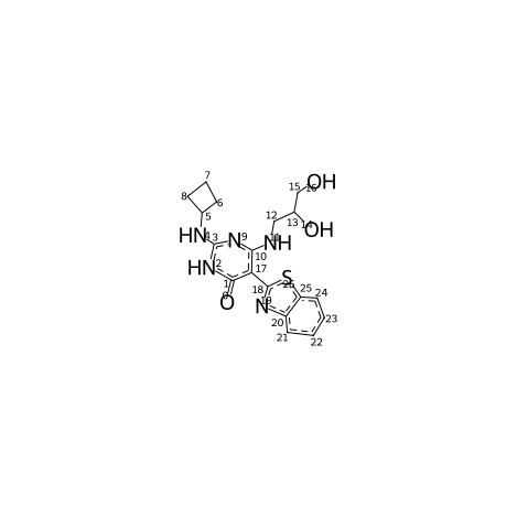 O=c1[nH]c(NC2CCC2)nc(NCC(O)CO)c1-c1nc2ccccc2s1